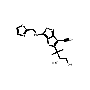 C#Cc1c(C(F)(F)[C@@H](N)CO)sc2c(NCc3nccs3)snc12